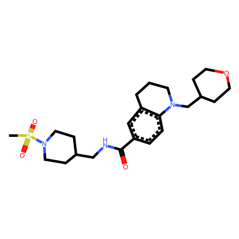 CS(=O)(=O)N1CCC(CNC(=O)c2ccc3c(c2)CCCN3CC2CCOCC2)CC1